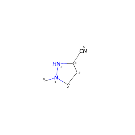 CN1[CH]CC(C#N)N1